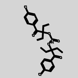 CCC(CC)(O[PH](=O)OC(CC)(CC)C(=O)c1ccc(Cl)cc1)C(=O)c1ccc(Cl)cc1